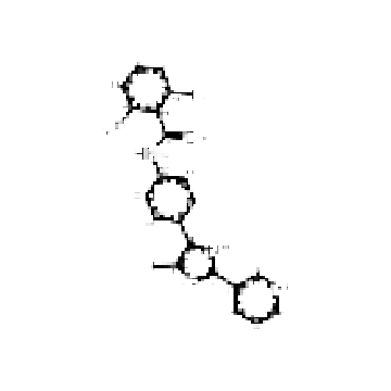 Cc1sc(-c2cccnc2)nc1-c1ccc(NC(=O)c2c(F)cccc2F)cc1